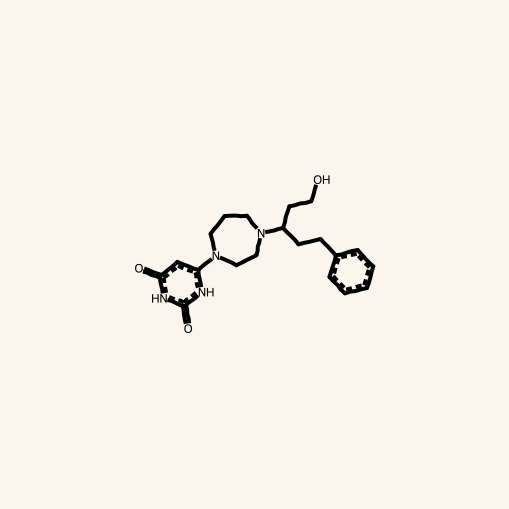 O=c1cc(N2CCCN(C(CCO)CCc3ccccc3)CC2)[nH]c(=O)[nH]1